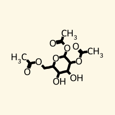 CC(=O)OCC1OC(OC(C)=O)C(OC(C)=O)C(O)C1O